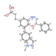 CC(Oc1c(N)cc(CCC(=O)O)cc1-c1ccc2c(cnn2C)c1)c1ccccc1